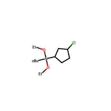 CCCC[Si](OCC)(OCC)C1CCC(Cl)C1